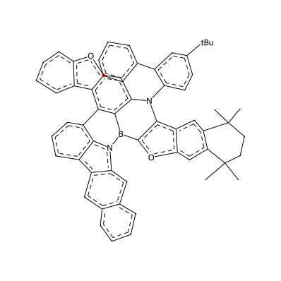 CC(C)(C)c1ccc(N2c3cc4oc5ccccc5c4c4c3B(c3oc5cc6c(cc5c32)C(C)(C)CCC6(C)C)n2c3cc5ccccc5cc3c3cccc-4c32)c(-c2ccccc2)c1